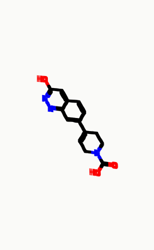 O=C(O)N1CC=C(c2ccc3cc(O)nnc3c2)CC1